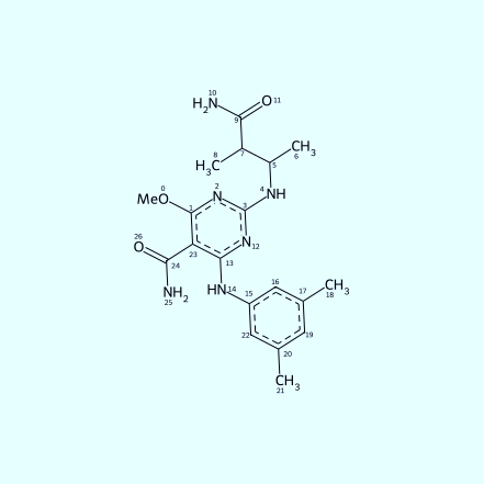 COc1nc(NC(C)C(C)C(N)=O)nc(Nc2cc(C)cc(C)c2)c1C(N)=O